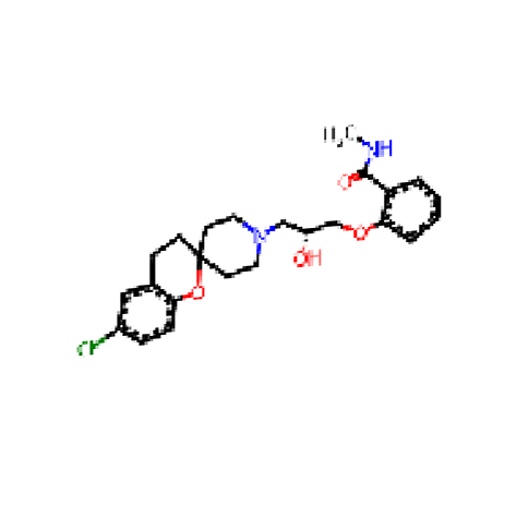 CNC(=O)c1ccccc1OC[C@H](O)CN1CCC2(CCc3cc(Cl)ccc3O2)CC1